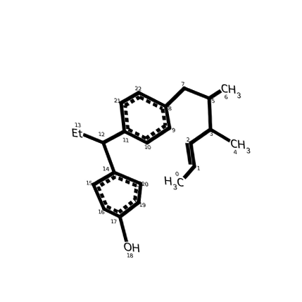 CC=CC(C)C(C)Cc1ccc(C(CC)c2ccc(O)cc2)cc1